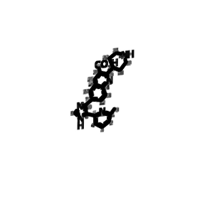 Cc1cccc(-c2[nH]cnc2-c2ccc3nc(C4CCNCC4)c(C(=O)O)cc3c2)n1